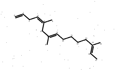 C=CCC=C(C)CC(C)=CCCCCC(C)=CC